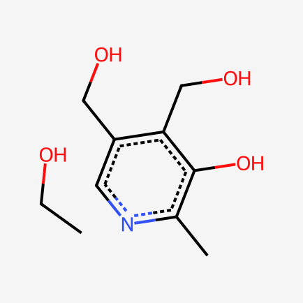 CCO.Cc1ncc(CO)c(CO)c1O